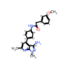 COc1cccc(CC(=O)Nc2ccc(-c3cc(C)nc4c3c(N)nn4C)cc2)c1